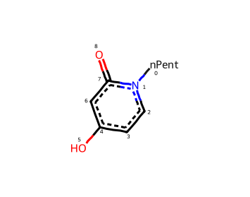 CCCCCn1ccc(O)cc1=O